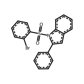 O=S(=O)(c1ccccc1Br)n1c(-c2ccccc2)cc2ccccc21